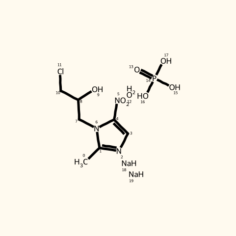 Cc1ncc([N+](=O)[O-])n1CC(O)CCl.O.O=P(O)(O)O.[NaH].[NaH]